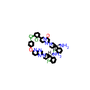 NC[C@]1(c2ccccc2F)[C@@H]2CCN(c3cc(=O)n4cc(-c5cccc(Cl)c5Cl)ccc4n3)C[C@@H]21.NC[C@]1(c2ccccc2F)[C@@H]2CCN(c3cnc4nc(Oc5ccc(F)cc5)ccc4n3)C[C@@H]21